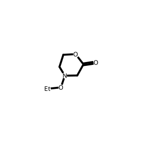 CCON1CCOC(=O)C1